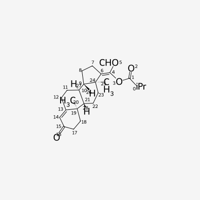 CC(C)C(=O)O/C(C=O)=C1/CC[C@H]2[C@@H]3CCC4=CC(=O)CC[C@]4(C)[C@H]3CC[C@]12C